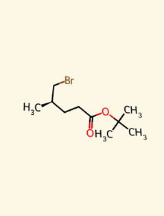 C[C@@H](CBr)CCC(=O)OC(C)(C)C